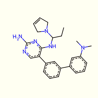 CCC(Nc1nc(N)ncc1-c1cccc(-c2cccc(N(C)C)c2)c1)N1CC=CC1